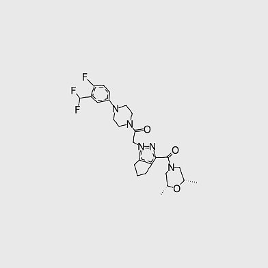 C[C@@H]1CN(C(=O)c2nn(CC(=O)N3CCN(c4ccc(F)c(C(F)F)c4)CC3)c3c2CCC3)C[C@H](C)O1